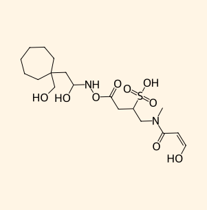 CN(CC(CC(=O)ONC(O)CC1(CO)CCCCCC1)S(=O)(=O)O)C(=O)/C=C\O